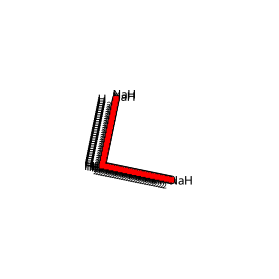 O.O.O.O.O.O.O.O.O.O.O.O.O.O.O.O.O.O.O.O.O.O.O.O.O.O.O.O.O.O.O.O.O.O.O.O.O.O.O.O.O.O.O.O.O.O.O.O.O.O.O.O.O.O.O.O.O.O.O.O.[NaH].[NaH].[NaH]